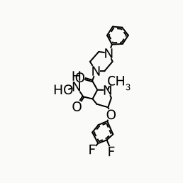 CN1CC(Oc2ccc(F)c(F)c2)CC(C(=O)NO)C1C(=O)N1CCN(c2ccccc2)CC1